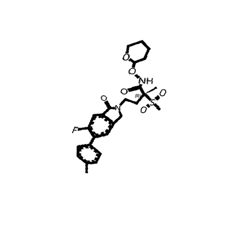 Cc1ccc(-c2cc3c(cc2F)C(=O)N(CC[C@](C)(C(=O)NOC2CCCCO2)S(C)(=O)=O)C3)cc1